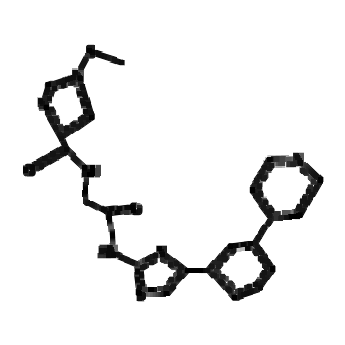 CSn1cnc(C(=O)NCC(=O)Nc2nc(-c3cccc(-c4ccncc4)c3)cs2)c1